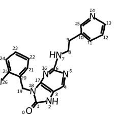 O=c1[nH]c2cnc(NCCc3cccnc3)nc2n1Cc1ccccc1Cl